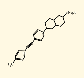 CCCCCCCC1CCC2CC(c3ccc(C#Cc4ccc(C(F)(F)F)cc4)cc3)CCC2C1